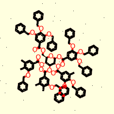 Cc1cc(C(=O)O[C@@H]2[C@@H](OC(=O)c3cc(C)c(OCc4ccccc4)c(OCc4ccccc4)c3)[C@H](OC(=O)c3cc(OCc4ccccc4)c(OCc4ccccc4)c(OCc4ccccc4)c3)O[C@H](COC(=O)c3cc(OCc4ccccc4)c(OCc4ccccc4)c(OCc4ccccc4)c3)[C@H]2OC(=O)c2cc(C)c(C)c(OCc3ccccc3)c2)cc(OCc2ccccc2)c1C